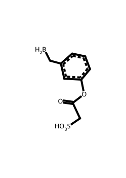 BCc1cccc(OC(=O)CS(=O)(=O)O)c1